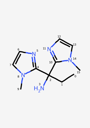 CCC(N)(c1nccn1C)c1nccn1C